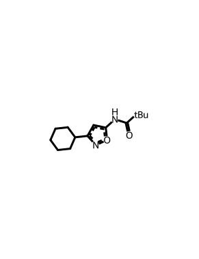 CC(C)(C)C(=O)Nc1cc(C2CCCCC2)no1